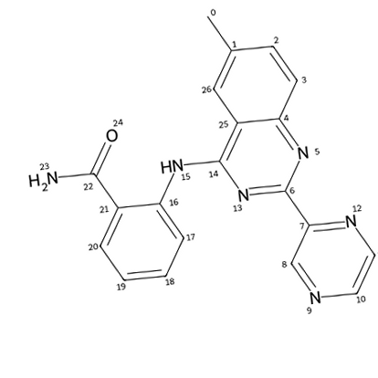 Cc1ccc2nc(-c3cnccn3)nc(Nc3ccccc3C(N)=O)c2c1